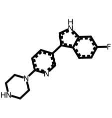 Fc1ccc2c(-c3ccc(N4CCNCC4)nc3)c[nH]c2c1